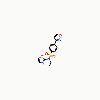 CCN(c1ncco1)S(=O)(=O)c1ccc(-c2ccon2)cc1